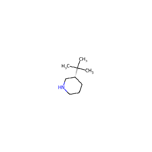 CC(C)(C)[C@@H]1CCCNC1